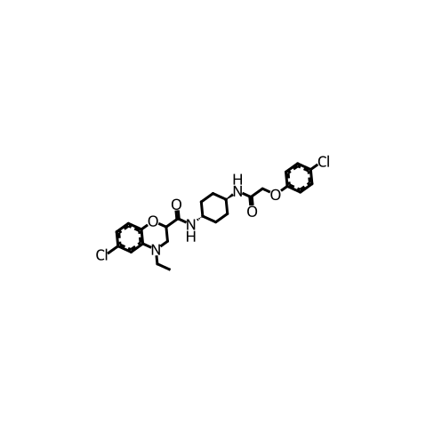 CCN1CC(C(=O)N[C@H]2CC[C@H](NC(=O)COc3ccc(Cl)cc3)CC2)Oc2ccc(Cl)cc21